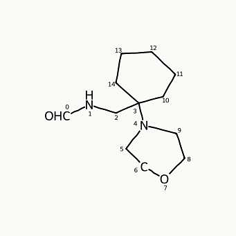 O=CNCC1(N2CCOCC2)CCCCC1